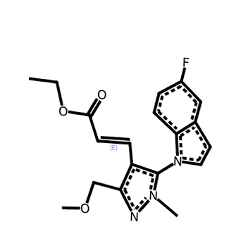 CCOC(=O)/C=C/c1c(COC)nn(C)c1-n1ccc2cc(F)ccc21